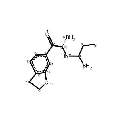 BC(CC)N[C@@H](B)C(=O)c1ccc2c(c1)OCC2